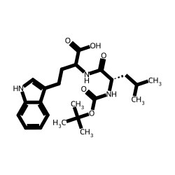 CC(C)C[C@H](NC(=O)OC(C)(C)C)C(=O)NC(CCc1c[nH]c2ccccc12)C(=O)O